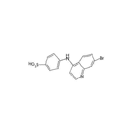 O=S(=O)(O)c1ccc(Nc2ccnc3cc(Br)ccc23)cc1